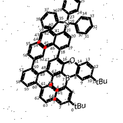 CC(C)(C)c1ccc2c(c1)B1c3cc(C(C)(C)C)ccc3Oc3c(-c4ccc([Si](c5ccccc5)(c5ccccc5)c5ccccc5)c5ccccc45)cc(-c4c(-c5ccccc5)cccc4-c4ccccc4)c(c31)O2